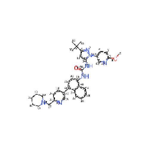 COc1ccc(-n2nc(C(C)(C)C)cc2NC(=O)Nc2ccc(-c3ccc(CN4CCCCC4)nc3)c3ccccc23)cn1